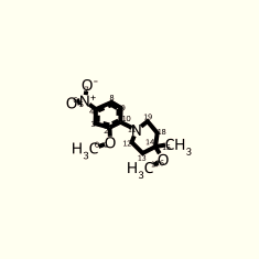 COc1cc([N+](=O)[O-])ccc1N1CCC(C)(OC)CC1